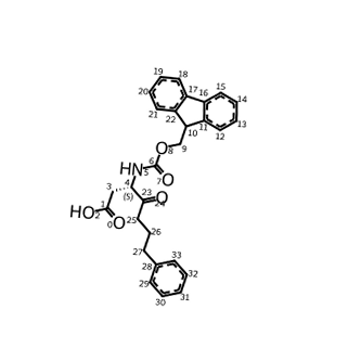 O=C(O)C[C@H](NC(=O)OCC1c2ccccc2-c2ccccc21)C(=O)CCCc1ccccc1